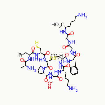 CC(C)C[C@H](NC(=O)[C@H](C)N)C(=O)N[C@@H](CS)C(=O)N[C@@H](CC(=O)O)C(=O)N1CCC[C@H]1C(=O)N[C@@H](CO)C(=O)N[C@@H](CCCCN)C(=O)N[C@@H](CS)C(=O)N[C@@H](Cc1ccccc1)C(=O)NCC(=O)NCC(=O)N[C@@H](CCCCN)C(=O)O